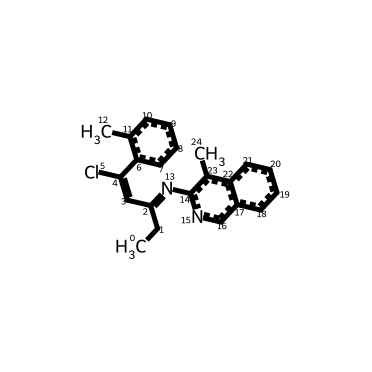 CCC(/C=C(/Cl)c1ccccc1C)=N\c1ncc2ccccc2c1C